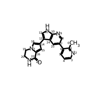 Cc1ncccc1-c1cnc2[nH]cc(-c3cc4n(c3)CCNC4=O)c2c1